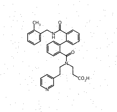 Cc1ccccc1CNC(=O)c1ccccc1-c1ccccc1C(=O)N(CCC(=O)O)CCc1cccnc1